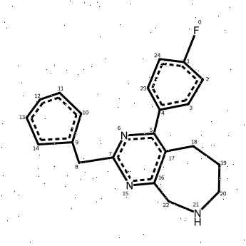 Fc1ccc(-c2nc(Cc3ccccc3)nc3c2CCCNC3)cc1